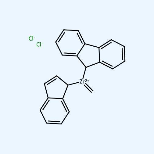 [CH2]=[Zr+2]([CH]1C=Cc2ccccc21)[CH]1c2ccccc2-c2ccccc21.[Cl-].[Cl-]